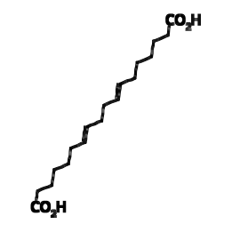 O=C(O)CCCCCC=CCCC=CCCCCCC(=O)O